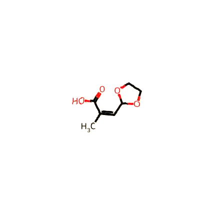 CC(=CC1OCCO1)C(=O)O